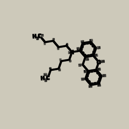 CCCCCN(CCCCC)c1cccc2c1Cc1ccccc1O2